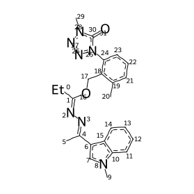 CC/C(=N/N=C(C)c1cn(C)c2ccccc12)OCc1c(C)cccc1-n1nnn(C)c1=O